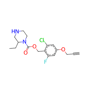 C#CCOc1cc(F)c(COC(=O)N2CCNCC2CC)c(Cl)c1